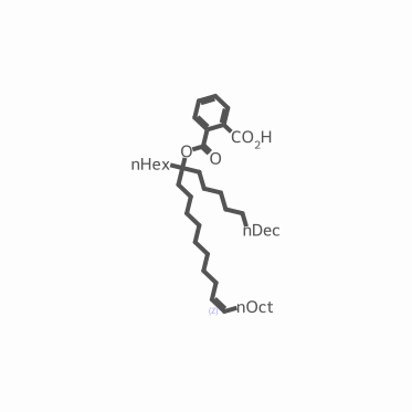 CCCCCCCC/C=C\CCCCCCCCC(CCCCCC)(CCCCCCCCCCCCCCC)OC(=O)c1ccccc1C(=O)O